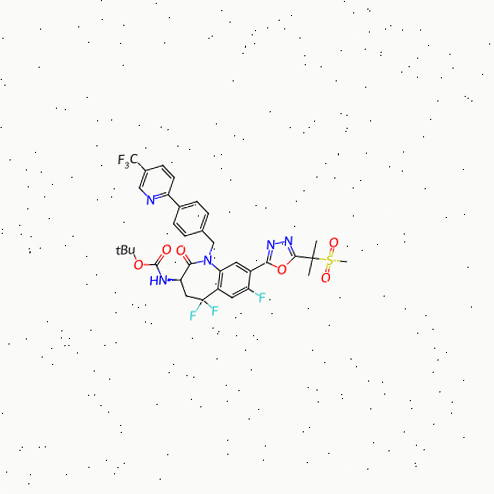 CC(C)(C)OC(=O)N[C@@H]1CC(F)(F)c2cc(F)c(-c3nnc(C(C)(C)S(C)(=O)=O)o3)cc2N(Cc2ccc(-c3ccc(C(F)(F)F)cn3)cc2)C1=O